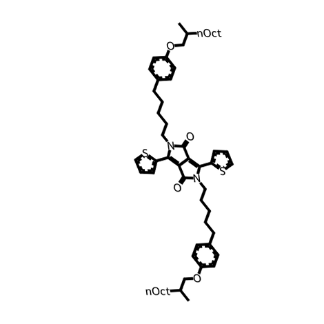 CCCCCCCCC(C)COc1ccc(CCCCCN2C(=O)C3=C(c4cccs4)N(CCCCCc4ccc(OCC(C)CCCCCCCC)cc4)C(=O)C3=C2c2cccs2)cc1